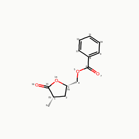 C[C@H]1C[C@@H](COC(=O)c2ccccc2)OC1=O